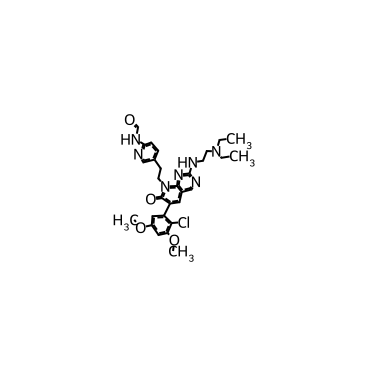 CCN(CC)CCNc1ncc2cc(-c3cc(OC)cc(OC)c3Cl)c(=O)n(CCc3ccc(NC=O)nc3)c2n1